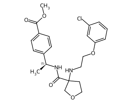 COC(=O)c1ccc([C@H](C)NC(=O)C2(NCCOc3cccc(Cl)c3)CCOC2)cc1